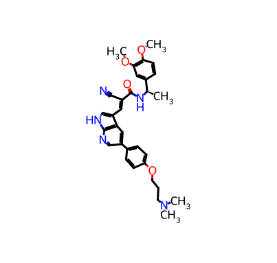 COc1ccc([C@@H](C)NC(=O)/C(C#N)=C/c2c[nH]c3ncc(-c4ccc(OCCCN(C)C)cc4)cc23)cc1OC